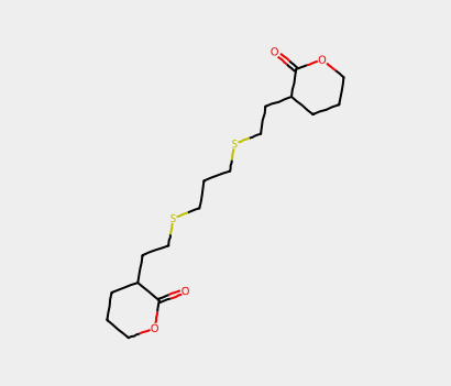 O=C1OCCCC1CCSCCCSCCC1CCCOC1=O